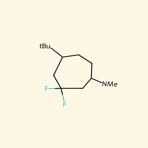 CNC1CCC(C(C)(C)C)CC(F)(F)C1